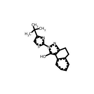 CC(C)(C)c1csc(-n2nc3c(c2O)-c2ccccc2CC3)n1